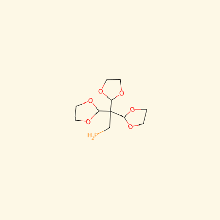 PCC(C1OCCO1)(C1OCCO1)C1OCCO1